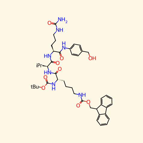 CC(C)[C@H](NC(=O)[C@H](CCCCNC(=O)OCC1c2ccccc2-c2ccccc21)NC(=O)OC(C)(C)C)C(=O)N[C@@H](CCCNC(N)=O)C(=O)Nc1ccc(CO)cc1